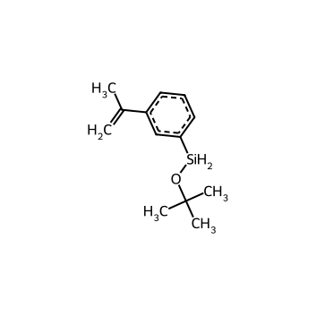 C=C(C)c1cccc([SiH2]OC(C)(C)C)c1